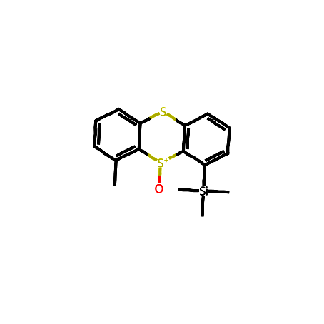 Cc1cccc2c1[S+]([O-])c1c(cccc1[Si](C)(C)C)S2